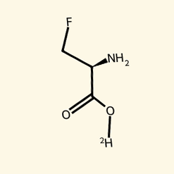 [2H]OC(=O)[C@H](N)CF